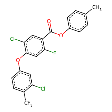 Cc1ccc(OC(=O)c2cc(Cl)c(Oc3ccc(C(F)(F)F)c(Cl)c3)cc2F)cc1